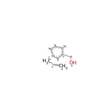 C=CC.OCc1ccccc1